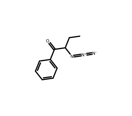 CCC(N=[N+]=[N-])C(=O)c1ccccc1